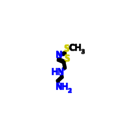 CSc1ncc(CNCCN)s1